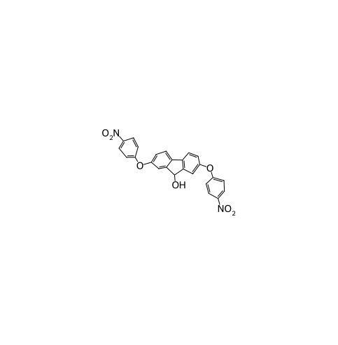 O=[N+]([O-])c1ccc(Oc2ccc3c(c2)C(O)c2cc(Oc4ccc([N+](=O)[O-])cc4)ccc2-3)cc1